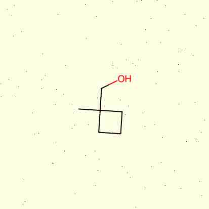 CC1(CO)CCC1